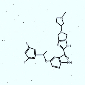 CC(Oc1ccc2[nH]nc(-c3nc4c([nH]3)CN(C3CCN(C)C3)C4)c2c1)c1cc(F)cc(F)c1